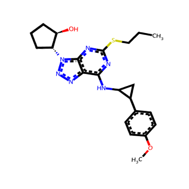 CCCSc1nc(NC2CC2c2ccc(OC)cc2)c2nnn([C@@H]3CCC[C@H]3O)c2n1